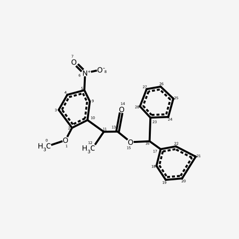 COc1ccc([N+](=O)[O-])cc1C(C)C(=O)OC(c1ccccc1)c1ccccc1